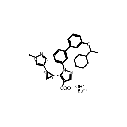 CC(Oc1cccc(-c2cccc(-n3ncc(C(=O)[O-])c3[C@@H]3C[C@H]3c3cn(C)nn3)c2)c1)C1CCCCC1.[Ba+2].[OH-]